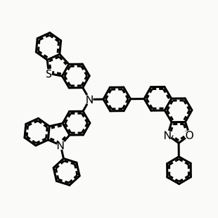 c1ccc(-c2nc3c(ccc4ccc(-c5ccc(N(c6ccc7c(c6)sc6ccccc67)c6ccc7c(c6)c6ccccc6n7-c6ccccc6)cc5)cc43)o2)cc1